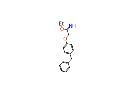 CCOC(=N)COc1ccc(Cc2ccccc2)cc1